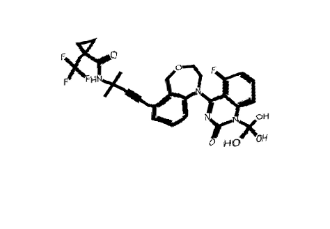 CC(C)(C#Cc1cccc2c1COCCN2c1nc(=O)n(C(O)(O)O)c2cccc(F)c12)NC(=O)C1(C(F)(F)F)CC1